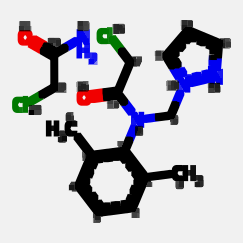 Cc1cccc(C)c1N(Cn1cccn1)C(=O)CCl.NC(=O)CCl